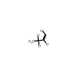 Cl/[C]=C(/Cl)C(Cl)(Cl)C(Cl)(Cl)Cl